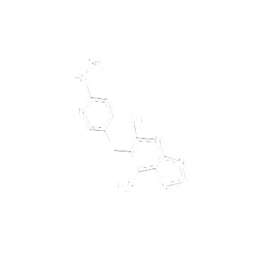 Cc1nc2nonc2c(N)c1Cc1ccc(NN)nc1